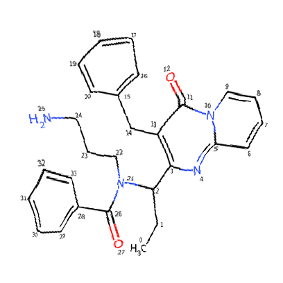 CCC(c1nc2ccccn2c(=O)c1Cc1ccccc1)N(CCCN)C(=O)c1ccccc1